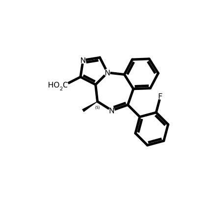 C[C@@H]1N=C(c2ccccc2F)c2ccccc2-n2cnc(C(=O)O)c21